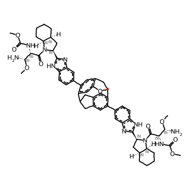 COC(=O)N[C@H](C(=O)N1[C@H](c2nc3cc(-c4cc5c6cc4CCc4cc(-c7ccc8[nH]c([C@@H]9C[C@@H]%10CCCC[C@@H]%10N9C(=O)[C@@H](NC(=O)OC)[C@@H](N)OC)nc8c7)c(cc4OC)C(C6)C5)ccc3[nH]2)C[C@@H]2CCCC[C@@H]21)[C@@H](N)OC